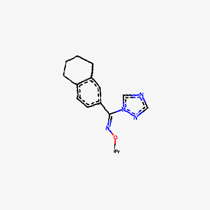 CC(C)ON=C(c1ccc2c(c1)CCCC2)n1cncn1